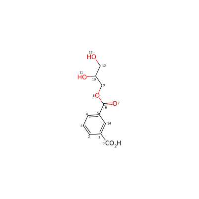 O=C(O)c1cccc(C(=O)OCC(O)CO)c1